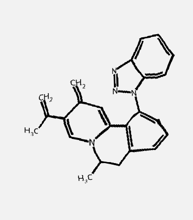 C=C(C)C1=CN2C(=CC1=C)c1c(cccc1-n1nnc3ccccc31)CC2C